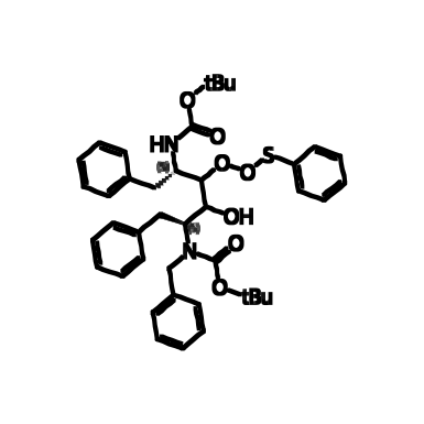 CC(C)(C)OC(=O)N[C@@H](Cc1ccccc1)C(OOSc1ccccc1)C(O)[C@H](Cc1ccccc1)N(Cc1ccccc1)C(=O)OC(C)(C)C